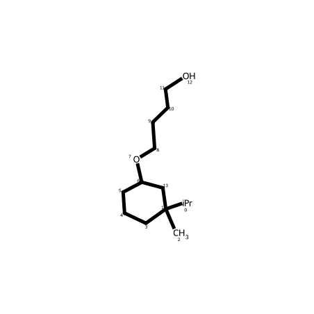 CC(C)C1(C)CCCC(OCCCCO)C1